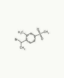 Cc1cc(S(C)(=O)=O)ccc1C(C)Br